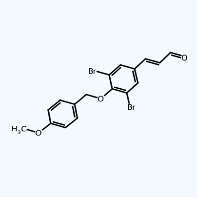 COc1ccc(COc2c(Br)cc(C=CC=O)cc2Br)cc1